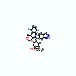 O=C(O)[C@]1(O)CC[C@@H](c2c(C3CCOCC3)n(-c3ccc(F)c(F)c3)c3cc4cn[nH]c4cc32)CC1